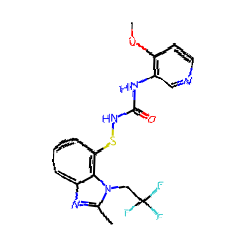 COc1ccncc1NC(=O)NSc1cccc2nc(C)n(CC(F)(F)F)c12